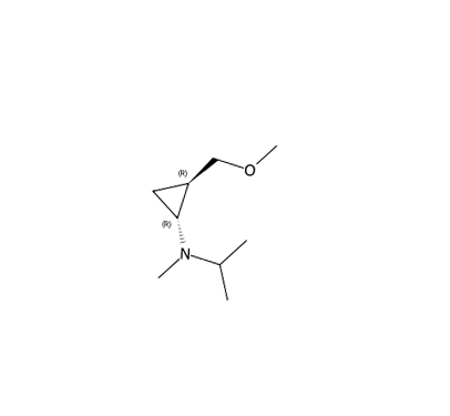 COC[C@@H]1C[C@H]1N(C)C(C)C